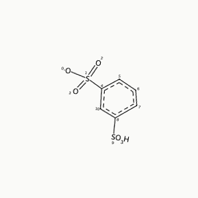 [O]S(=O)(=O)c1cccc(S(=O)(=O)O)c1